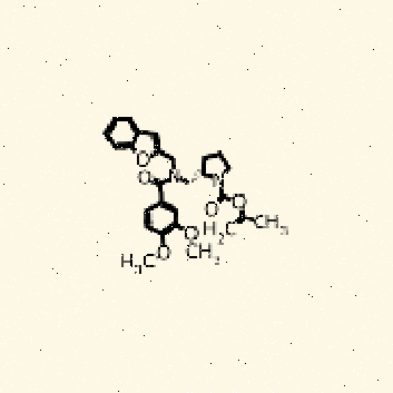 C=C(C)OC(=O)N1CCC[C@H]1CN(Cc1cc2ccccc2o1)C(=O)c1ccc(OC)c(OC)c1